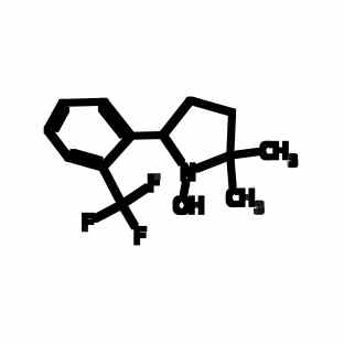 CC1(C)CCC(c2ccccc2C(F)(F)F)N1O